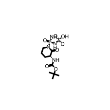 CC(C)(C)OC(=O)N[C@@H]1CCCN(P(N)(=O)NS(=O)(=O)O)C1=O